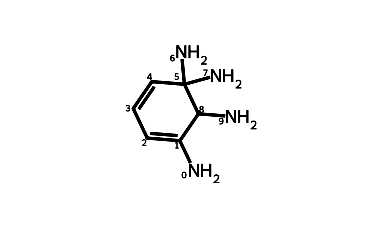 NC1=CC=CC(N)(N)C1N